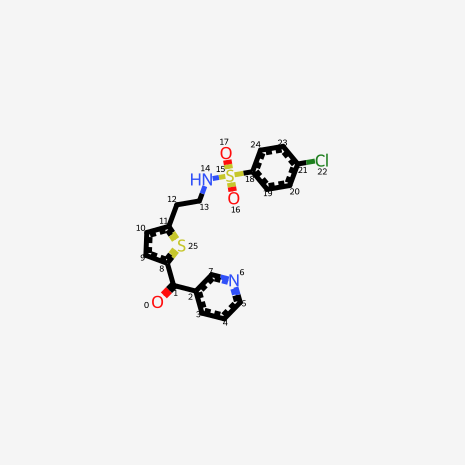 O=C(c1cccnc1)c1ccc(CCNS(=O)(=O)c2ccc(Cl)cc2)s1